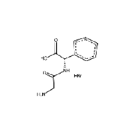 Br.NCC(=O)N[C@H](C(=O)O)c1ccccc1